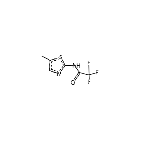 Cc1cnc(NC(=O)C(F)(F)F)s1